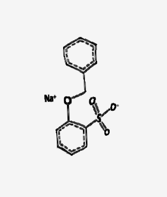 O=S(=O)([O-])c1ccccc1OCc1ccccc1.[Na+]